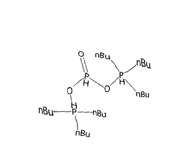 CCCC[PH](CCCC)(CCCC)O[PH](=O)O[PH](CCCC)(CCCC)CCCC